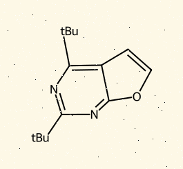 CC(C)(C)c1nc(C(C)(C)C)c2ccoc2n1